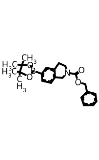 CC1(C)OB(c2ccc3c(c2)CCN(C(=O)OCc2ccccc2)C3)OC1(C)C